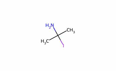 CC(C)(N)I